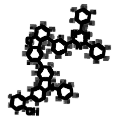 Oc1ccccc1-c1ccc2c(c1)c1cc(-c3ccc4oc5cccc(-c6cccc(-c7nc(-c8ccccc8)nc(-c8ccccc8)n7)c6)c5c4c3)ccc1n2-c1ccccc1